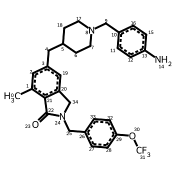 Cc1cc(CC2CCN(Cc3ccc(N)cc3)CC2)cc2c1C(=O)N(Cc1ccc(OC(F)(F)F)cc1)C2